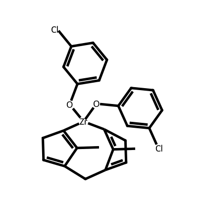 CC1=[C]2CC=C1CC1=CC[C](=C1C)[Zr]2([O]c1cccc(Cl)c1)[O]c1cccc(Cl)c1